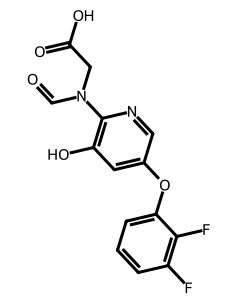 O=CN(CC(=O)O)c1ncc(Oc2cccc(F)c2F)cc1O